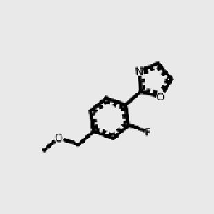 COCc1ccc(-c2ncco2)c(F)c1